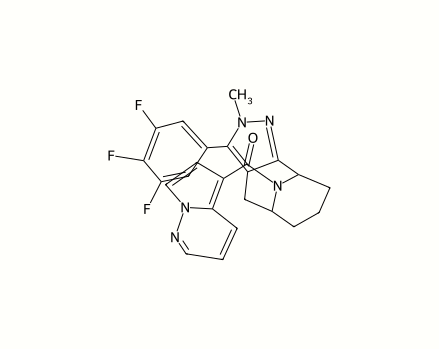 Cn1nc2c(c1-c1cc(F)c(F)c(F)c1)CC1CCCC2N1C(=O)c1ccn2ncccc12